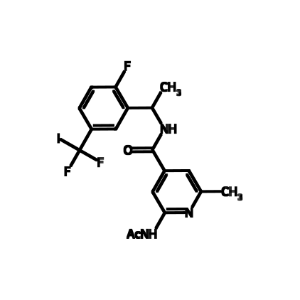 CC(=O)Nc1cc(C(=O)NC(C)c2cc(C(F)(F)I)ccc2F)cc(C)n1